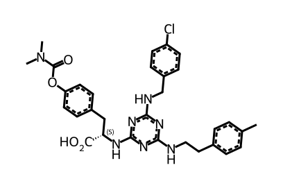 Cc1ccc(CCNc2nc(NCc3ccc(Cl)cc3)nc(N[C@@H](Cc3ccc(OC(=O)N(C)C)cc3)C(=O)O)n2)cc1